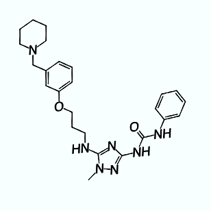 Cn1nc(NC(=O)Nc2ccccc2)nc1NCCCOc1cccc(CN2CCCCC2)c1